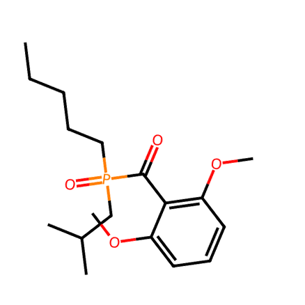 CCCCCP(=O)(CC(C)C)C(=O)c1c(OC)cccc1OC